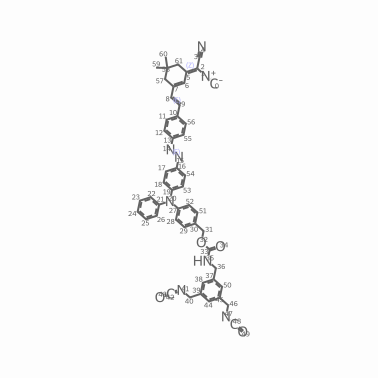 [C-]#[N+]/C(C#N)=C1C=C(/C=C/c2ccc(/N=N/c3ccc(N(c4ccccc4)c4ccc(COC(=O)NCc5cc(CN=C=O)cc(CN=C=O)c5)cc4)cc3)cc2)CC(C)(C)C\1